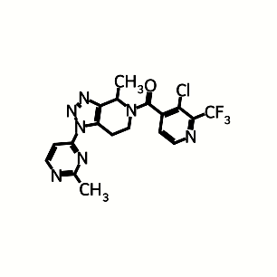 Cc1nccc(-n2nnc3c2CCN(C(=O)c2ccnc(C(F)(F)F)c2Cl)C3C)n1